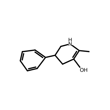 CC1=C(O)CC(c2ccccc2)CN1